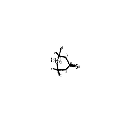 CC1(C)CC(=S)CC(C)(C)N1